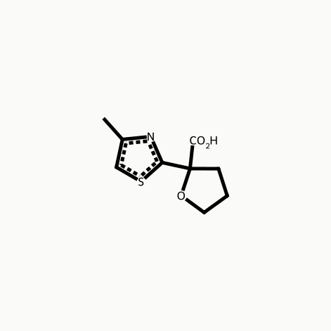 Cc1csc(C2(C(=O)O)CCCO2)n1